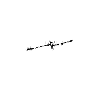 CC(C)(C)OC(=O)CCCCCCCCCCCCCCCCC(=O)N[C@H](CC(=C=O)C(=O)NCCOCCOCC(=O)NCCOCCOCC(=O)O)OC(C)(C)C